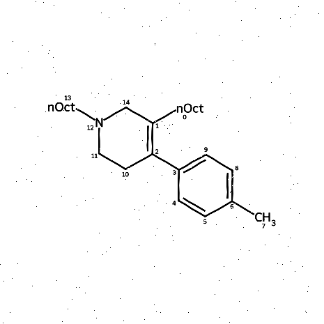 CCCCCCCCC1=C(c2ccc(C)cc2)CCN(CCCCCCCC)C1